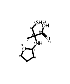 CC(CS)(NC1CCCO1)C(=O)O